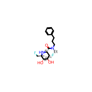 CCN(CCCc1ccccc1)C(=O)[C@H]1N[C@H](CF)[C@@H](O)[C@H](O)[C@H]1F